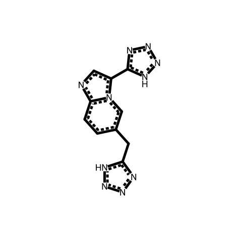 c1cc2ncc(-c3nnn[nH]3)n2cc1Cc1nnn[nH]1